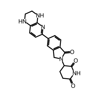 O=C1CCC(N2Cc3cc(-c4ccc5c(n4)NCCN5)ccc3C2=O)C(=O)N1